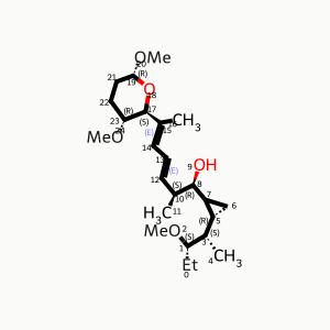 CC[C@H](OC)[C@@H](C)[C@H]1CC1[C@H](O)[C@@H](C)/C=C/C=C(\C)[C@@H]1O[C@@H](OC)CC[C@H]1OC